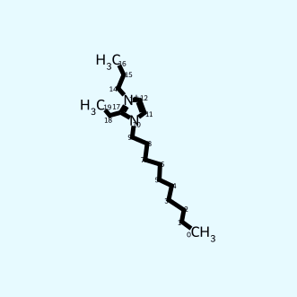 CCCCCCCCCCn1cc[n+](CCC)c1CC